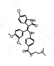 COc1ccc(/C(Nc2ccc(C(=O)N(C)CCN(C)C)cc2)=C2/C(=O)Nc3cc(Cl)ccc32)cc1OC